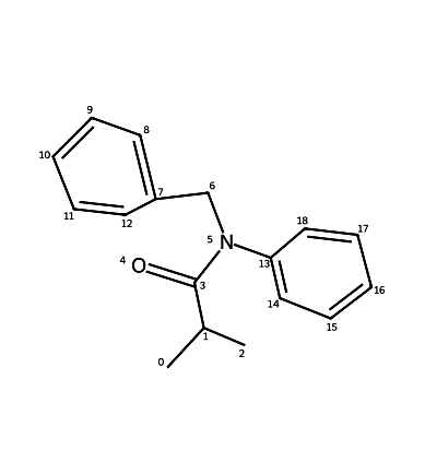 CC(C)C(=O)N(Cc1ccccc1)c1ccccc1